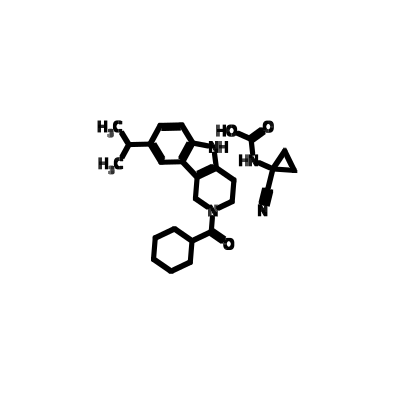 CC(C)c1ccc2[nH]c3c(c2c1)CN(C(=O)C1CCCCC1)CC3.N#CC1(NC(=O)O)CC1